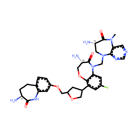 CN1C(=O)[C@@H](N)CN(CN2C(=O)[C@@H](N)COc3c(C4COC(COc5ccc6c(c5)NC(=O)[C@@H](N)CC6)C4)cc(F)cc32)c2ncncc21